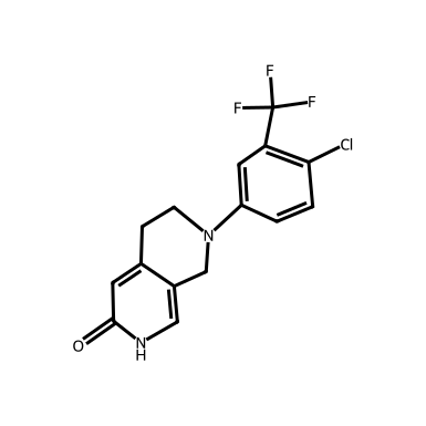 O=c1cc2c(c[nH]1)CN(c1ccc(Cl)c(C(F)(F)F)c1)CC2